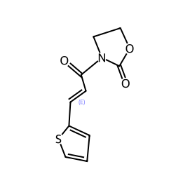 O=C(/C=C/c1cccs1)N1CCOC1=O